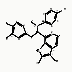 Cc1ccc(CC(c2nccc3c(C)c(C)[nH]c23)N(C)c2ccc(F)cc2)cc1C